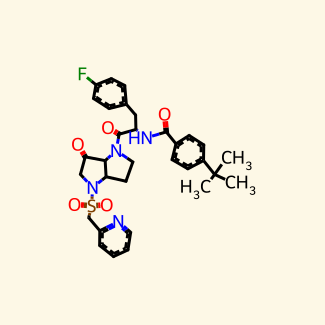 CC(C)(C)c1ccc(C(=O)NC(Cc2ccc(F)cc2)C(=O)N2CCC3C2C(=O)CN3S(=O)(=O)Cc2ccccn2)cc1